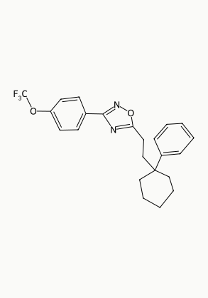 FC(F)(F)Oc1ccc(-c2noc(CCC3(c4ccccc4)CCCCC3)n2)cc1